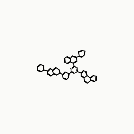 c1ccc(-c2ccc3cc(-c4cccc(-c5nc(-c6ccc7c(ccc8ccccc87)c6)nc(-c6cc(-c7ccccc7)cc7ccccc67)n5)c4)ccc3c2)cc1